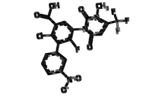 Cn1c(C(F)(F)F)cc(=O)n(-c2cc(C(=O)O)c(Cl)c(-c3cccc([N+](=O)[O-])c3)c2F)c1=O